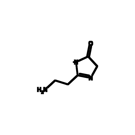 NCCC1=NCC(=O)[N]1